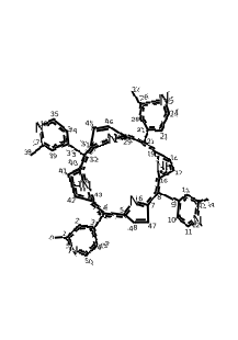 Cc1cc(-c2c3nc(c(-c4ccnc(C)c4)c4ccc([nH]4)c(-c4ccnc(C)c4)c4nc(c(-c5ccnc(C)c5)c5ccc2[nH]5)C=C4)C=C3)ccn1